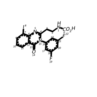 O=C(O)NCCc1nc2c(I)cccc2c(=O)n1-c1cc(F)cc(F)c1